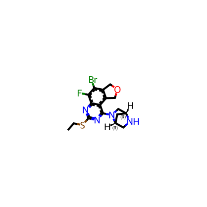 CCSc1nc(N2C[C@H]3C[C@@H]2CN3)c2c3c(c(Br)c(F)c2n1)COC3